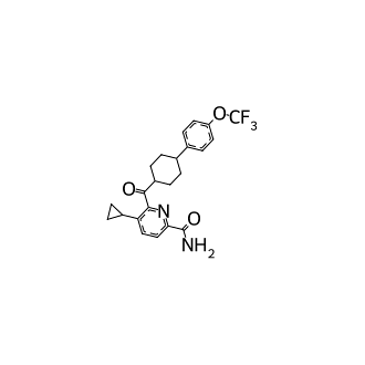 NC(=O)c1ccc(C2CC2)c(C(=O)C2CCC(c3ccc(OC(F)(F)F)cc3)CC2)n1